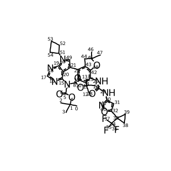 CC(C)(C)OC(=O)N(C(=O)OC(C)(C)C)c1ncnc2c1c(-c1ccc(NC(=O)Nc3cc(C4(C(F)(F)F)CC4)on3)c3c1CC(C)(C)O3)cn2C1CCC1